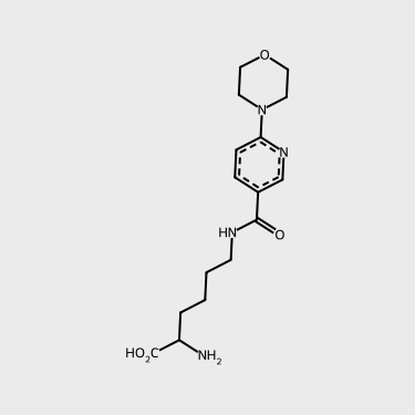 NC(CCCCNC(=O)c1ccc(N2CCOCC2)nc1)C(=O)O